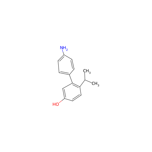 CC(C)c1ccc(O)cc1-c1ccc(N)cc1